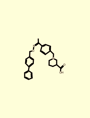 CC(=NOCc1ccc(-c2ccccc2)cc1)c1ccc(CN2CCCC(C(=O)O)C2)cc1